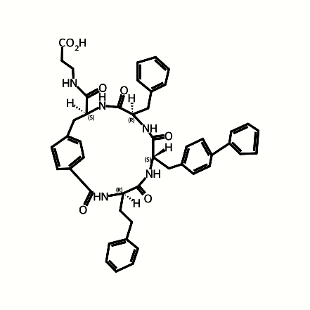 O=C(O)CCNC(=O)[C@@H]1Cc2ccc(cc2)C(=O)N[C@H](CCc2ccccc2)C(=O)N[C@@H](Cc2ccc(-c3ccccc3)cc2)C(=O)N[C@H](Cc2ccccc2)C(=O)N1